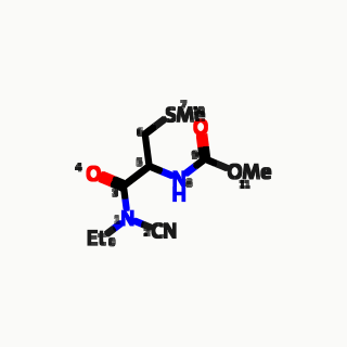 CCN(C#N)C(=O)C(CSC)NC(=O)OC